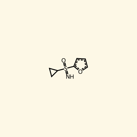 N=S(=O)(c1ccco1)C1CC1